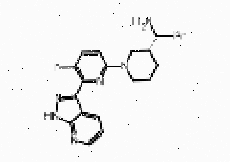 CC(C)C(N)[C@@H]1CCCN(c2ccc(F)c(-c3n[nH]c4ncccc34)n2)C1